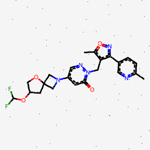 Cc1ccc(-c2noc(C)c2Cn2ncc(N3CC4(CC(OC(F)F)CO4)C3)cc2=O)cn1